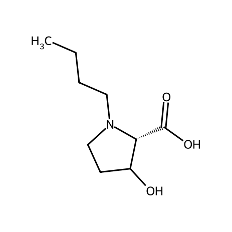 CCCCN1CCC(O)[C@H]1C(=O)O